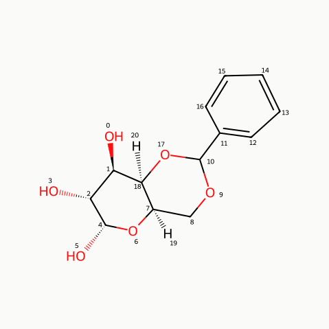 O[C@@H]1[C@@H](O)[C@@H](O)O[C@@H]2COC(c3ccccc3)O[C@H]12